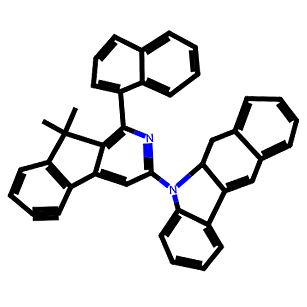 CC1(C)c2ccc#cc2-c2cc(N3c4ccccc4C4=Cc5ccccc5CC43)nc(-c3cccc4ccccc34)c21